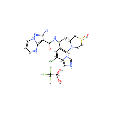 CC(NC(=O)c1c(N)nn2cccnc12)c1cc(Cl)c2cncn2c1N1CC[S+]([O-])CC1.O=C(O)C(F)(F)F